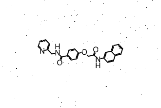 O=C(COc1ccc(C(=O)NCc2ccccn2)cc1)Nc1ccc2ccccc2c1